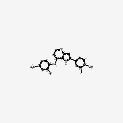 Cc1cc(-c2cc3nccc(Oc4ccc([N+](=O)[O-])cc4F)c3s2)ccc1O